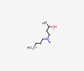 CCCC(O)CCN(C)CCCS(=O)(=O)O